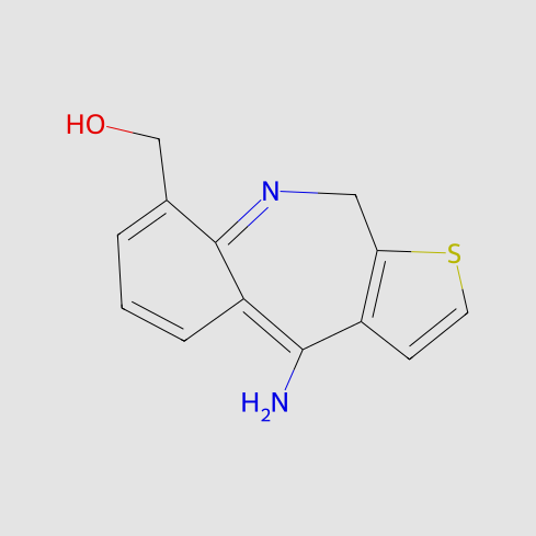 NC1=c2cccc(CO)c2=NCc2sccc21